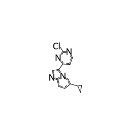 Clc1nccc(-c2cnc3ccc(C4CC4)cn23)n1